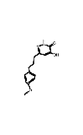 COc1ccc(CCCc2cc(O)c(=O)[nH]n2)cc1